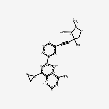 CN1CCC(O)(C#Cc2cccc(-c3cc(C4CC4)c4ncnc(N)c4n3)c2)C1=O